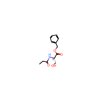 CCC(=O)N[C@@H](CO)C(=O)OCc1ccccc1